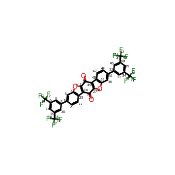 O=C1c2oc3cc(-c4cc(C(F)(F)F)cc(C(F)(F)F)c4)ccc3c2C(=O)c2oc3cc(-c4cc(C(F)(F)F)cc(C(F)(F)F)c4)ccc3c21